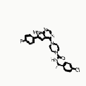 C[C@H](NC(=O)N1CCN(c2ncnc3[nH]c(-c4ccc(F)cc4)cc23)CC1)c1ccc(Cl)cc1